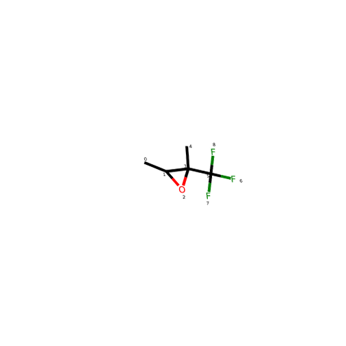 CC1OC1(C)C(F)(F)F